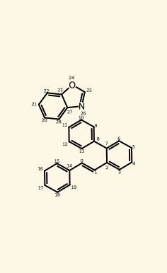 C(=C\c1ccccc1-c1ccccc1)/c1ccccc1.c1ccc2ocnc2c1